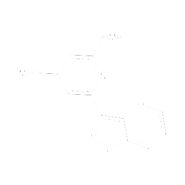 COc1cc(OC)nc(-c2ccc3cccoc2-3)c1